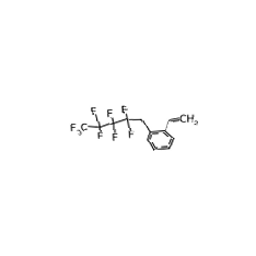 C=Cc1ccccc1CC(F)(F)C(F)(F)C(F)(F)C(F)(F)F